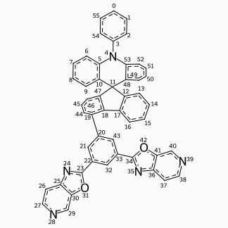 c1ccc(N2c3ccccc3C3(c4ccccc4-c4c(-c5cc(-c6nc7ccncc7o6)cc(-c6nc7ccncc7o6)c5)cccc43)c3ccccc32)cc1